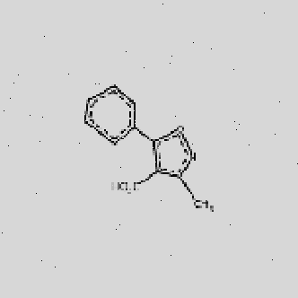 Cc1noc(-c2ccccc2)c1C(=O)O